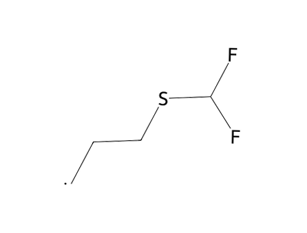 [CH2]CCSC(F)F